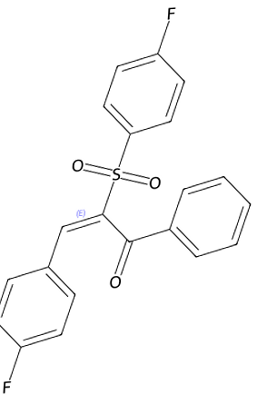 O=C(/C(=C\c1ccc(F)cc1)S(=O)(=O)c1ccc(F)cc1)c1ccccc1